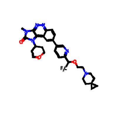 Cn1c(=O)n(C2CCOCC2)c2c3cc(-c4ccc(C(OCCN5CCC6(CC5)CC6)C(F)(F)F)nc4)ccc3nnc21